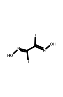 ON=C(I)C(I)=NO